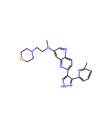 Cc1cccc(-c2n[nH]cc2-c2ccc3ncc(N(C)CCN4CCOCC4)cc3n2)n1